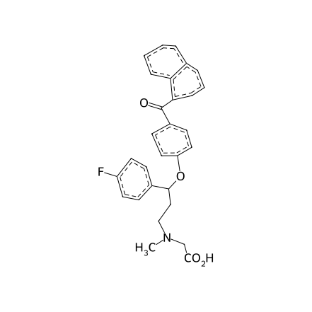 CN(CCC(Oc1ccc(C(=O)c2cccc3ccccc23)cc1)c1ccc(F)cc1)CC(=O)O